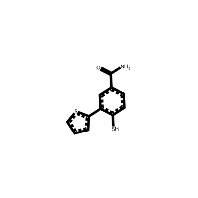 NC(=O)c1ccc(S)c(-c2cccs2)c1